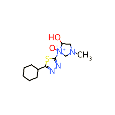 CN1CC(O)[N+]([O-])(c2nnc(C3CCCCC3)s2)C1